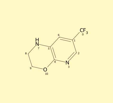 FC(F)(F)c1cnc2c(c1)NCCO2